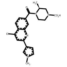 C[C@H]1CN(C(=O)O)CCN1C(=O)c1ccc2c(Cl)cc(-c3ccn(C)c3)nc2c1